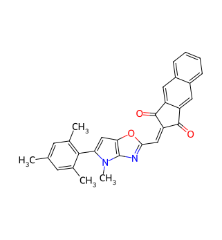 Cc1cc(C)c(-c2cc3oc(C=C4C(=O)c5cc6ccccc6cc5C4=O)nc3n2C)c(C)c1